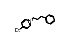 CCc1cc[n+](CCCc2ccccc2)cc1